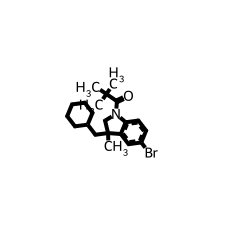 CC(C)(C)C(=O)N1CC(C)(CC2CCCCC2)c2cc(Br)ccc21